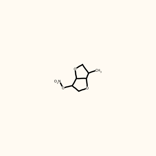 CC1COC2C(O[N+](=O)[O-])COC12